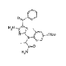 COc1ccc(N(c2nc(N)c(C(=O)c3ccccc3)s2)C(C)C(N)=O)c(C)c1